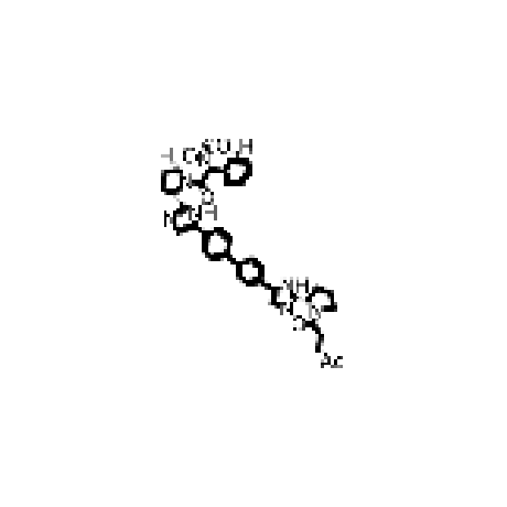 CC(=O)CCC(=O)N1CCC[C@H]1c1ncc(-c2ccc(-c3ccc(-c4cnc([C@@H]5CCCN5C(=O)[C@@H](c5ccccc5)N(C)C(=O)O)[nH]4)cc3)cc2)[nH]1